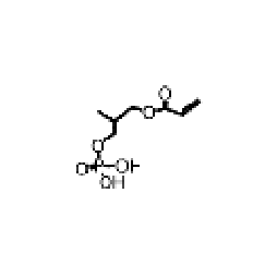 C=CC(=O)OCC(C)COP(=O)(O)O